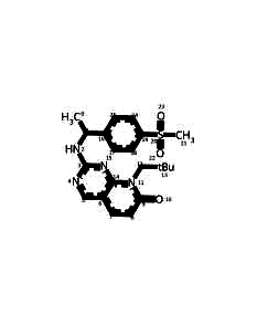 CC(Nc1ncc2ccc(=O)n(CC(C)(C)C)c2n1)c1ccc(S(C)(=O)=O)cc1